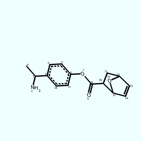 CC(N)c1ccc(OC(=O)C2CC3C=CC2O3)cc1